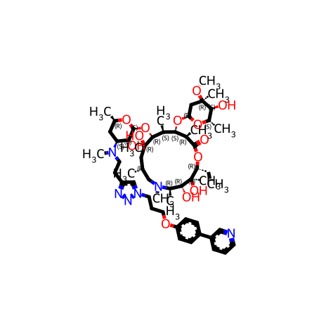 CC[C@H]1OC(=O)[C@H](C)[C@@H](O[C@H]2C[C@@](C)(OC)[C@@H](O)[C@H](C)O2)[C@H](C)[C@@H](O[C@@H]2O[C@H](C)C[C@H](N(C)CCc3cn(CCCOc4ccc(-c5cccnc5)cc4)nn3)[C@H]2O)[C@](C)(O)C[C@@H](C)CN(C)[C@H](C)[C@@H](O)[C@]1(C)O